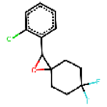 FC1(F)CCC2(CC1)OC2c1ccccc1Cl